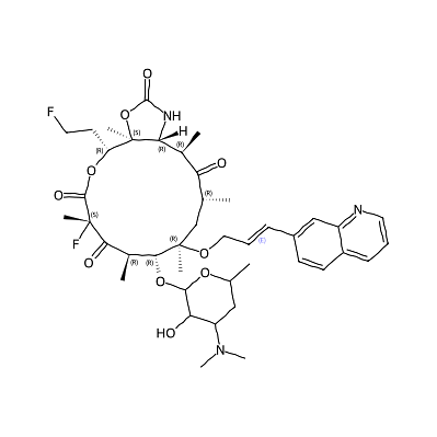 CC1CC(N(C)C)C(O)C(O[C@@H]2[C@@H](C)C(=O)[C@](C)(F)C(=O)O[C@H](CCF)[C@@]3(C)OC(=O)N[C@@H]3[C@@H](C)C(=O)[C@H](C)C[C@@]2(C)OC/C=C/c2ccc3cccnc3c2)O1